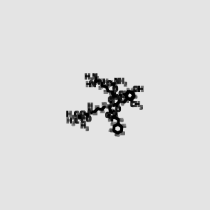 Cc1cc(O)cc(C)c1C[C@H](NC(=O)[C@@H](CCCNC(=N)N)OC(N)=O)C(=O)N[C@@H](CCCCNC(=O)OC(C)(C)C)c1nc(CC2CCCCC2)no1